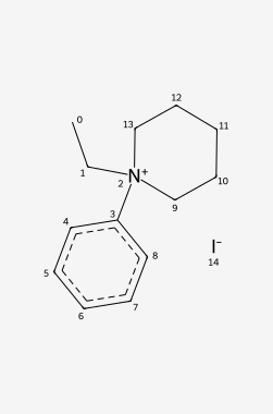 CC[N+]1(c2ccccc2)CCCCC1.[I-]